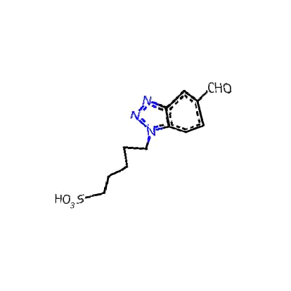 O=Cc1ccc2c(c1)nnn2CCCCCS(=O)(=O)O